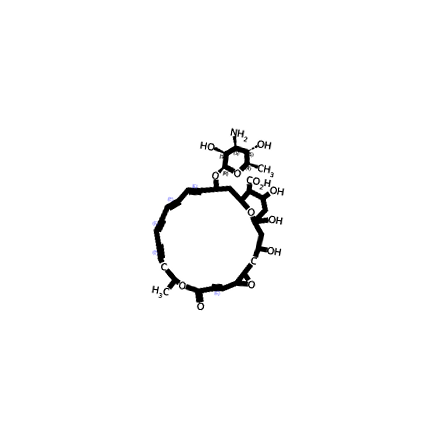 CC1C/C=C/C=C/C=C/C=C/C(O[C@@H]2O[C@H](C)[C@@H](O)[C@H](N)[C@@H]2O)CC2OC(O)(CC(O)CC3OC3/C=C/C(=O)O1)CC(O)C2C(=O)O